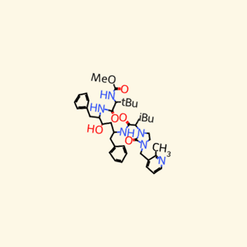 CCC(C)C(C(=O)NC(Cc1ccccc1)CC(O)C(Cc1ccccc1)NC(=O)C(NC(=O)OC)C(C)(C)C)N1CCN(Cc2cccnc2C)C1=O